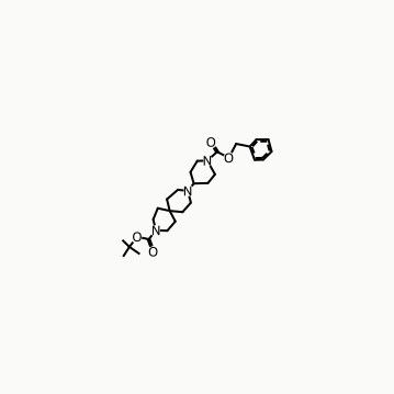 CC(C)(C)OC(=O)N1CCC2(CC1)CCN(C1CCN(C(=O)OCc3ccccc3)CC1)CC2